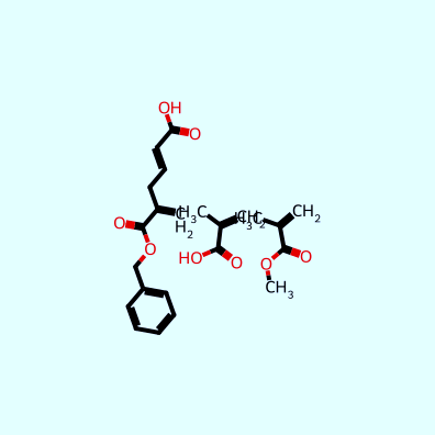 C=C(C)C(=O)O.C=C(C)C(=O)OC.C=C(CC=CC(=O)O)C(=O)OCc1ccccc1